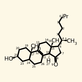 CC(C)CCC[C@@H](C)[C@H]1CC(=O)[C@H]2C3=C(CC[C@@]21C)[C@@]1(C)CC[C@H](O)CC1CC3